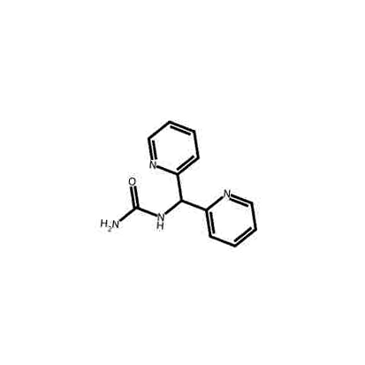 NC(=O)NC(c1ccccn1)c1ccccn1